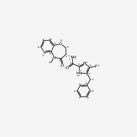 CN1C(=O)[C@@H](NC(=O)c2nc(F)c(Cc3ccccc3)[nH]2)COc2cccnc21